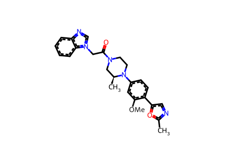 COc1cc(N2CCN(C(=O)Cn3cnc4ccccc43)C[C@@H]2C)ccc1-c1cnc(C)o1